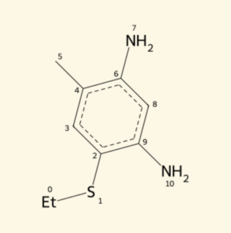 CCSc1cc(C)c(N)cc1N